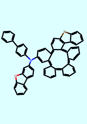 c1ccc(-c2ccc(N(c3ccc4c(c3)oc3ccccc34)c3ccc4c(c3)c3ccccc3c3ccccc3c3ccccc3c3c4ccc4sc5ccccc5c43)cc2)cc1